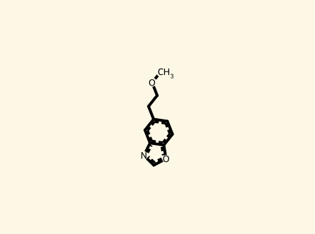 COCCc1ccc2ocnc2c1